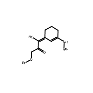 CCCNC1=C/C(=C(/C#N)C(=O)COCC)CCC1